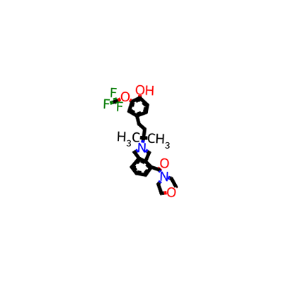 CC(C)(CCc1ccc(O)c(OC(F)(F)F)c1)N1Cc2cccc(C(=O)N3CCOCC3)c2C1